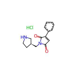 Cl.O=C1C=C(c2ccccc2)C(=O)N1C[C@H]1CCNC1